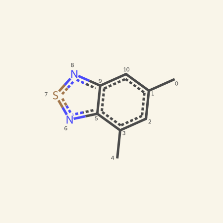 Cc1cc(C)c2nsnc2c1